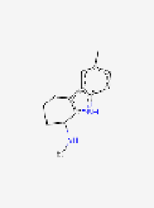 CCNC1CCCc2c1[nH]c1ccc(C)cc21